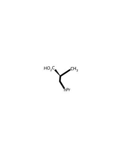 CCCC[C@H](C)C(=O)O